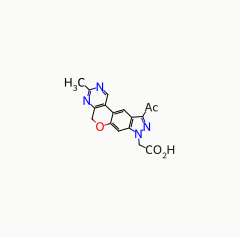 CC(=O)c1nn(CC(=O)O)c2cc3c(cc12)-c1cnc(C)nc1CO3